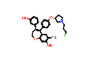 Cc1cc2c(cc1O)OCCC(c1cccc(O)c1)=C2c1ccc(O[C@H]2CCN(CCCF)C2)cc1